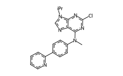 CC(C)n1cnc2c(N(C)c3ccc(-c4ccccn4)cc3)nc(Cl)nc21